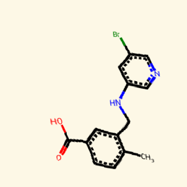 Cc1ccc(C(=O)O)cc1CNc1cncc(Br)c1